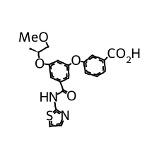 COC[C@H](C)Oc1cc(Oc2cccc(C(=O)O)c2)cc(C(=O)Nc2nccs2)c1